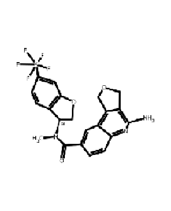 CN(C(=O)c1ccc2nc(N)c3c(c2c1)COC3)[C@@H]1COc2cc(S(F)(F)(F)(F)F)ccc21